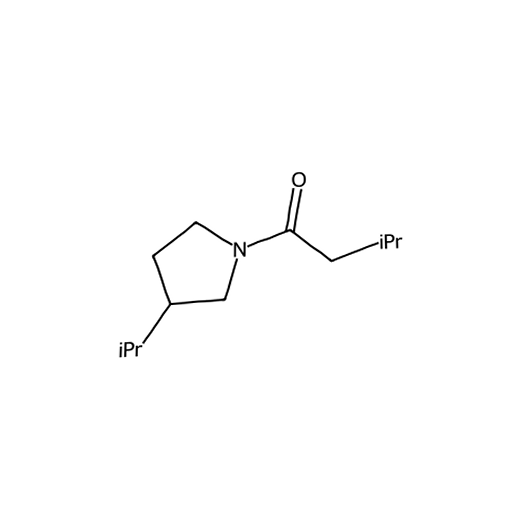 CC(C)CC(=O)N1CCC(C(C)C)C1